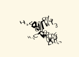 CC1=CCN(C(=O)OC(C)(C)C)C(=O)[C@@H](N(CCC(C)C)S(=O)(=O)c2ccc(C)cc2)C1